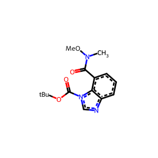 CON(C)C(=O)c1cccc2ncn(C(=O)OC(C)(C)C)c12